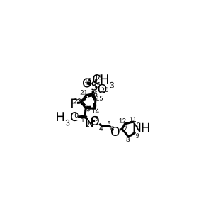 CC(=NOCCOC1CCNCC1)c1ccc(S(C)(=O)=O)cc1F